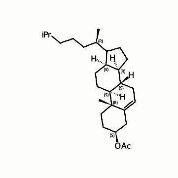 CC(=O)O[C@H]1CC[C@@]2(C)C(=CC[C@H]3[C@@H]4CCC([C@H](C)CCCC(C)C)[C@@H]4CC[C@@H]32)C1